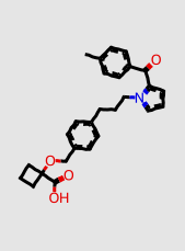 Cc1ccc(C(=O)c2cccn2CCCc2ccc(COC3(C(=O)O)CCC3)cc2)cc1